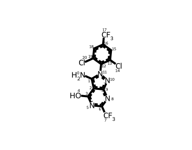 Nc1c2c(O)nc(C(F)(F)F)nc2nn1-c1c(Cl)cc(C(F)(F)F)cc1Cl